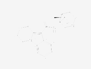 O=C(N[C@H]1CN2CCC1CC2)c1c2n(c3ccccc13)CCOC2